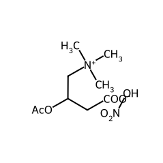 CC(=O)OC(CC(=O)[O-])C[N+](C)(C)C.O=[N+]([O-])O